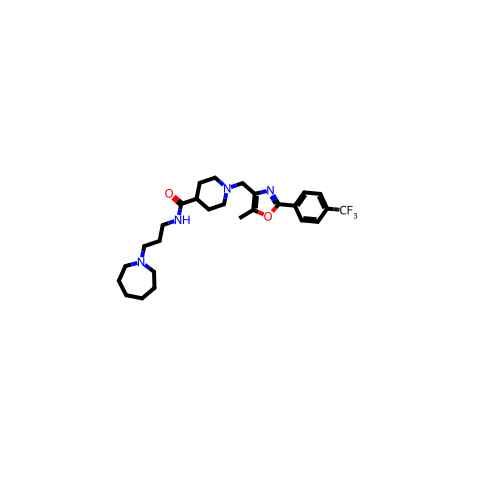 Cc1oc(-c2ccc(C(F)(F)F)cc2)nc1CN1CCC(C(=O)NCCCN2CCCCCC2)CC1